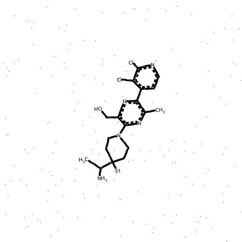 CCC1(C(C)N)CCN(c2nc(C)c(-c3ccnc(Cl)c3Cl)nc2CO)CC1